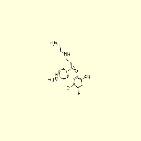 Cl.Cl.N#Cc1cc(F)c(Cl)cc1O[C@H](CCNCCN)c1ccccc1